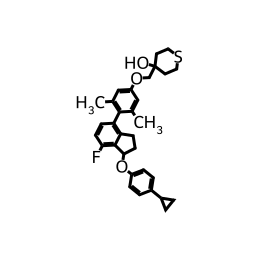 Cc1cc(OCC2(O)CCSCC2)cc(C)c1-c1ccc(F)c2c1CCC2Oc1ccc(C2CC2)cc1